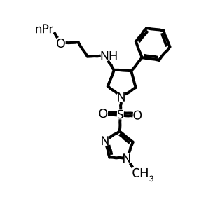 CCCOCCNC1CN(S(=O)(=O)c2cn(C)cn2)CC1c1ccccc1